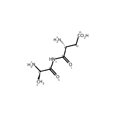 C[C@@H](N)C(=O)NC(=O)[C@H](N)CC(=O)O